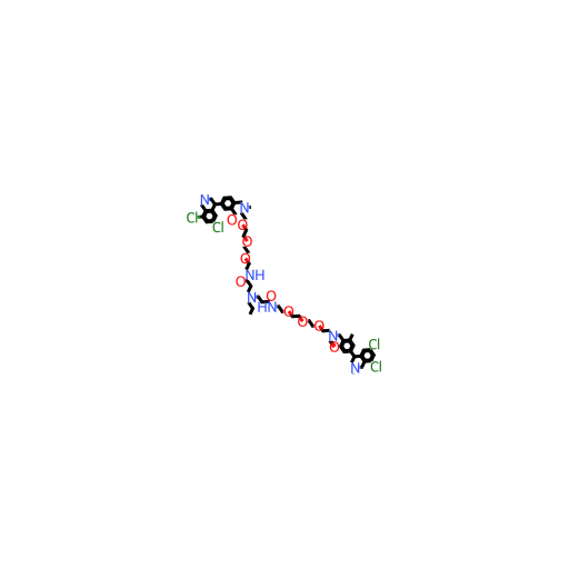 CCCN(CCC(=O)NCCOCCOCCOCCN(C)Cc1ccc(C2CN(C)Cc3c(Cl)cc(Cl)cc32)cc1C=O)CCC(=O)NCCOCCOCCOCCN(C=O)Cc1ccc(C2CN(C)Cc3c(Cl)cc(Cl)cc32)cc1C